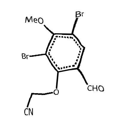 COc1c(Br)cc(C=O)c(OCC#N)c1Br